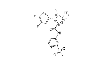 C[C@H]1[C@@H](c2ccc(F)c(F)c2)[C@H](C(=O)Nc2ccnc(S(C)(=O)=O)c2)O[C@@]1(C)C(F)(F)F